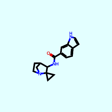 O=C(NC1C2CCN(C2)C12CC2)c1ccc2cc[nH]c2c1